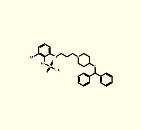 Cc1cccc(OCCCN2CCC(OC(c3ccccc3)c3ccccc3)CC2)c1NS(C)(=O)=O